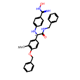 COc1cc([C@@H](Nc2ccc(C(=N)NO)cc2)C(=O)NCc2ccccc2)ccc1OCc1ccccc1